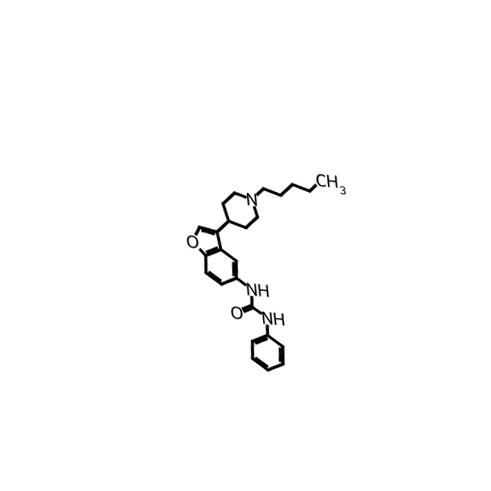 CCCCCN1CCC(c2coc3ccc(NC(=O)Nc4ccccc4)cc23)CC1